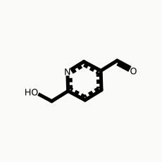 O=Cc1ccc(CO)nc1